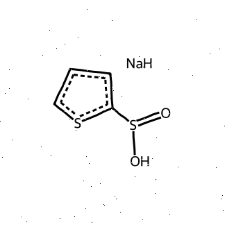 O=S(O)c1cccs1.[NaH]